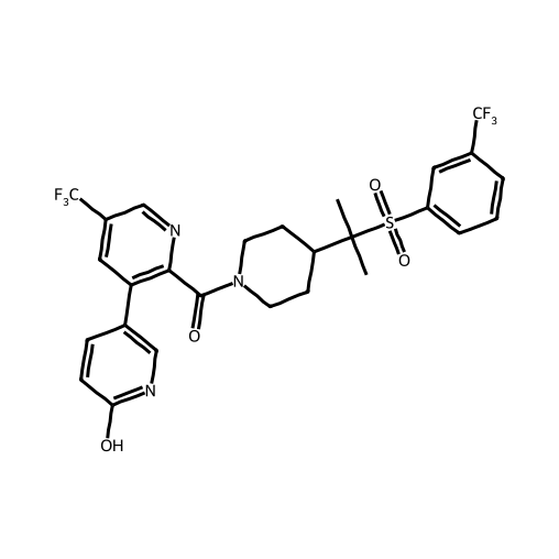 CC(C)(C1CCN(C(=O)c2ncc(C(F)(F)F)cc2-c2ccc(O)nc2)CC1)S(=O)(=O)c1cccc(C(F)(F)F)c1